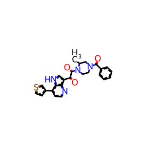 CC1CN(C(=O)c2ccccc2)CCN1C(=O)C(=O)c1c[nH]c2c(-c3ccsc3)ccnc12